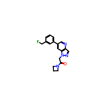 O=C(Cn1ncc2ncc(-c3cccc(CF)c3)cc21)N1CCC1